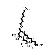 CCCCCCCCCCCCCCCCOCC(CC(O)OCC[N+](C)(C)C)OCCCCCCCCCCCCCCCC.[Br-]